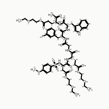 CCOCCOC(=O)CC[C@H](NC(=O)[C@H](Cc1c[nH]c2ccccc12)NC(=O)[C@H](Cc1cccc(F)c1)NC(=O)CNC(=O)[C@H](CCC(=O)OCCOCC)NC(=O)[C@@H](CC(=O)OCCOCC)NS(=O)(=O)c1ccc(OC)cc1)C(N)=O